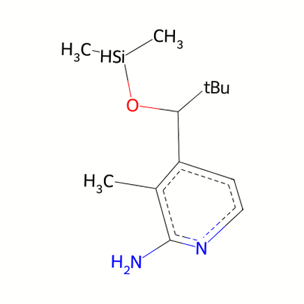 Cc1c(C(O[SiH](C)C)C(C)(C)C)ccnc1N